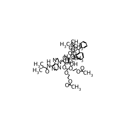 CC(=O)OCCOC(OCCOC(C)=O)O[C@@H]1[C@H](O)[C@@H](CO[Si](OC(c2ccccc2)c2ccccc2)(O[Si](C)(C)C)O[Si](C)(C)C)O[C@H]1n1cnc2c(NC(=O)C(C)C)ncnc21